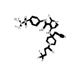 CN(C)S(=O)(=O)c1ccc(NC(=N)c2c(NC3(CC#N)CCN(C(=O)CCC(F)(F)F)CC3)cc[nH]c2=O)cc1